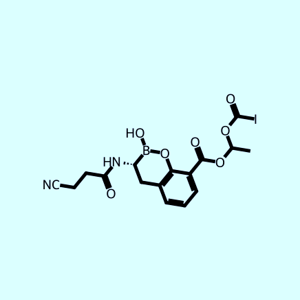 CC(OC(=O)I)OC(=O)c1cccc2c1OB(O)[C@@H](NC(=O)CCC#N)C2